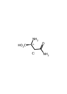 NC(=O)C[C@H](N)C(=O)O.[C]